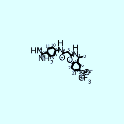 CC(NC(=O)CC(=O)Nc1ccc(C(=N)N)cc1)c1cccc([S+]([O-])C(F)(F)F)c1